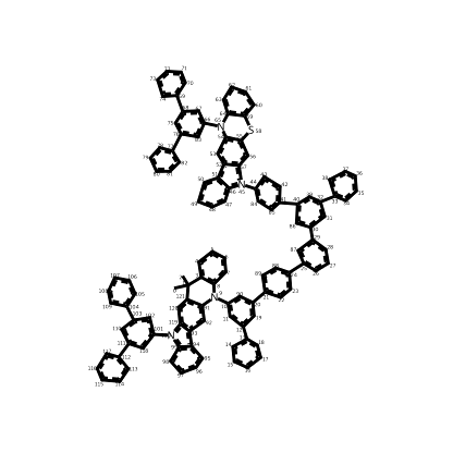 CC1(C)c2ccccc2N(c2cc(-c3ccccc3)cc(-c3ccc(-c4cccc(-c5cc(-c6ccccc6)cc(-c6ccc(-n7c8ccccc8c8cc9c(cc87)Sc7ccccc7N9c7cc(-c8ccccc8)cc(-c8ccccc8)c7)cc6)c5)c4)cc3)c2)c2cc3c4ccccc4n(-c4cc(-c5ccccc5)cc(-c5ccccc5)c4)c3cc21